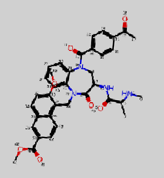 CN[C@@H](C)C(=O)NC1CN(C(=O)c2ccc(C(C)=O)cc2)c2ccccc2N(Cc2c(OC)ccc3cc(C(=O)OC)ccc23)C1=O